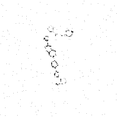 CC(C)(C)OC(=O)N1CCC[C@H]1c1ncc(-c2ccc(-c3ccc4cc(-c5cnc([C@@H]6CCCN6C(=O)OCc6ccccc6)[nH]5)cnc4c3)cc2)[nH]1